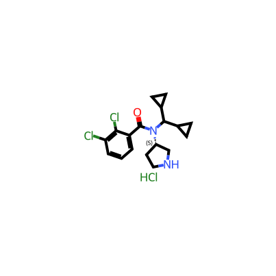 Cl.O=C(c1cccc(Cl)c1Cl)N(C(C1CC1)C1CC1)[C@H]1CCNC1